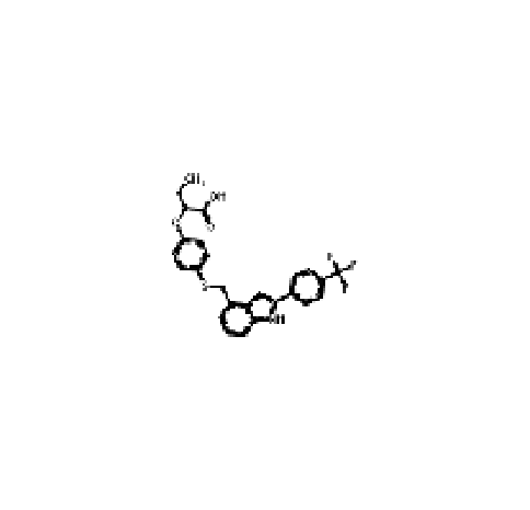 CCC(Oc1ccc(SCc2cccc3[nH]c(-c4ccc(C(F)(F)F)cc4)cc23)cc1)C(=O)O